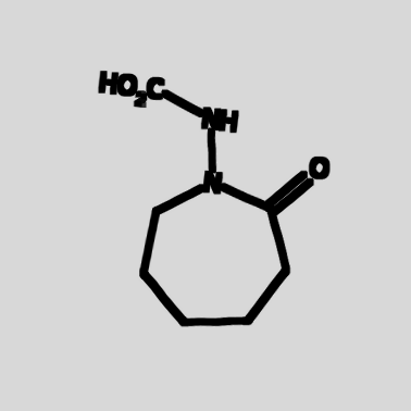 O=C(O)NN1CCCCCC1=O